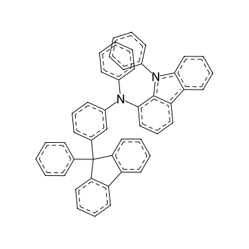 c1ccc(N(c2cccc(C3(c4ccccc4)c4ccccc4-c4ccccc43)c2)c2cccc3c4ccccc4n(-c4ccccc4)c23)cc1